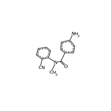 CN(C(=O)c1ccc(N)cc1)c1ccccc1C#N